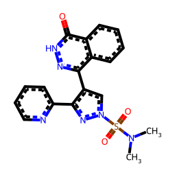 CN(C)S(=O)(=O)n1cc(-c2n[nH]c(=O)c3ccccc23)c(-c2ccccn2)n1